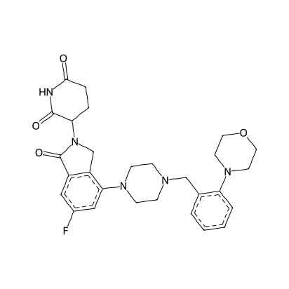 O=C1CCC(N2Cc3c(cc(F)cc3N3CCN(Cc4ccccc4N4CCOCC4)CC3)C2=O)C(=O)N1